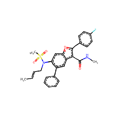 CC=CCN(c1cc2oc(-c3ccc(F)cc3)c(C(=O)NC)c2cc1-c1ccccc1)S(C)(=O)=O